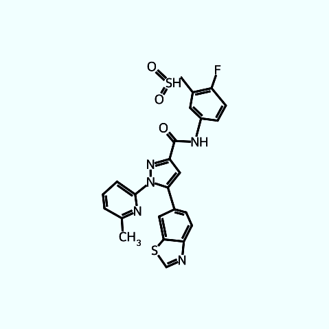 Cc1cccc(-n2nc(C(=O)Nc3ccc(F)c(C[SH](=O)=O)c3)cc2-c2ccc3ncsc3c2)n1